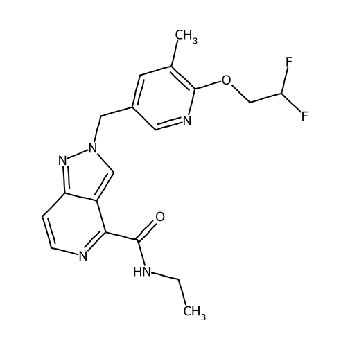 CCNC(=O)c1nccc2nn(Cc3cnc(OCC(F)F)c(C)c3)cc12